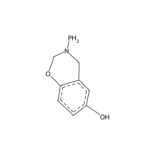 Oc1ccc2c(c1)CN(P)CO2